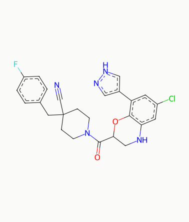 N#CC1(Cc2ccc(F)cc2)CCN(C(=O)C2CNc3cc(Cl)cc(-c4cn[nH]c4)c3O2)CC1